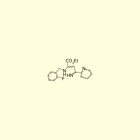 CCOC(=O)/C(=C/C(=N)c1ccccn1)NCc1ccccc1F